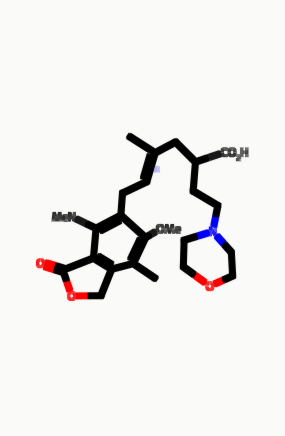 CNc1c(C/C=C(\C)CC(CCN2CCOCC2)C(=O)O)c(OC)c(C)c2c1C(=O)OC2